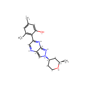 Cc1cc(C(F)(F)F)cc(O)c1-c1cnc2cn([C@@H]3CCO[C@H](C)C3)nc2n1